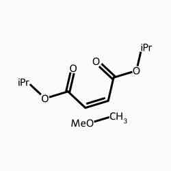 CC(C)OC(=O)/C=C\C(=O)OC(C)C.COC